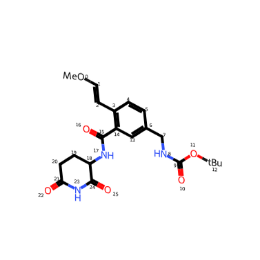 COC=Cc1ccc(CNC(=O)OC(C)(C)C)cc1C(=O)NC1CCC(=O)NC1=O